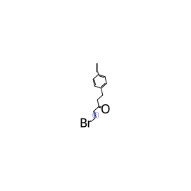 O=C(/C=C/Br)CCc1ccc(I)cc1